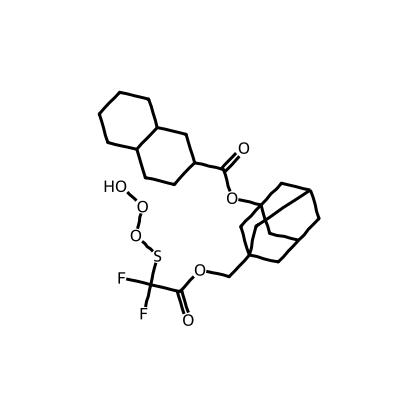 O=C(OC12CC3CC(CC(COC(=O)C(F)(F)SOOO)(C3)C1)C2)C1CCC2CCCCC2C1